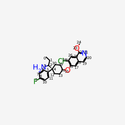 CCC(N)[C@]1(c2ccc(F)cc2)CC[C@H](Oc2cc3ccnc(OC)c3cc2Cl)CC1